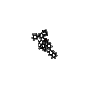 C[Si]1(C)C2=C(CCC=C2)C2(c3cc(-c4ccc5ccccc5c4)ccc3-c3ccc(-c4cc(-c5ccccc5)cc5ncccc45)cc32)c2ccccc21